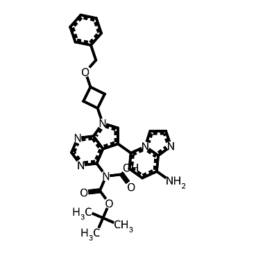 CC(C)(C)OC(=O)N(C(=O)O)c1ncnc2c1c(-c1ccc(N)c3nccn13)cn2C1CC(OCc2ccccc2)C1